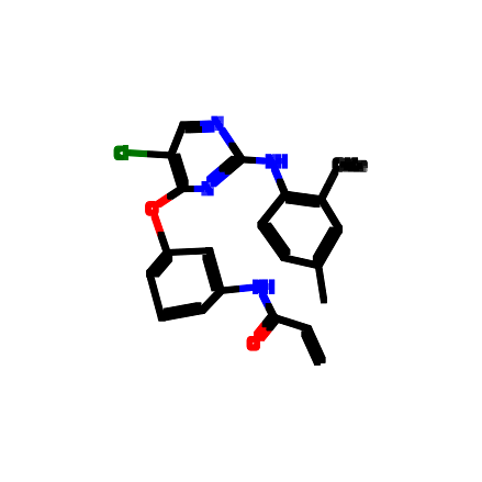 C=CC(=O)Nc1cccc(Oc2nc(Nc3ccc(C)cc3OC)ncc2Cl)c1